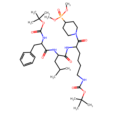 COP(=O)(OC)C1CCN(C(=O)C(CCCCNC(=O)OC(C)(C)C)NC(=O)C(CC(C)C)NC(=O)C(Cc2ccccc2)NC(=O)OC(C)(C)C)CC1